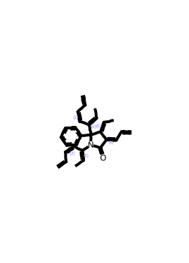 C=C/C=C\C(=C/C)N1C(=O)C(=C/C=C)/C(=C\C)C1(C(/C=C\C=C)=C/C)c1ccccc1